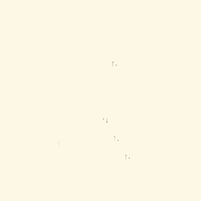 [N-]=[N+]=N/C(=C\c1ccc(OC2CC2)nc1)C(=O)O